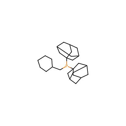 C1CCC(CP(C23CC4CC(CC(C4)C2)C3)C23CC4CC(CC(C4)C2)C3)CC1